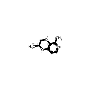 Cc1nccc2c1OCC(C)O2